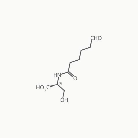 O=CCCCCC(=O)N[C@@H](CO)C(=O)O